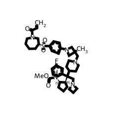 C=CC(=O)N1CCCC[C@@H](S(=O)(=O)c2ccc(N3CC(C)(CN4CCC(C(CN5CCC5)(c5cccc(F)c5)[C@H]5CCC[C@@H]5NC(=O)OC)CC4)C3)cc2)C1